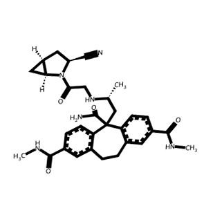 CNC(=O)c1ccc2c(c1)CCc1cc(C(=O)NC)ccc1C2(C[C@@H](C)NCC(=O)N1[C@H](C#N)C[C@@H]2C[C@@H]21)C(N)=O